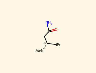 CN[C@H](CC(N)=O)C(C)C